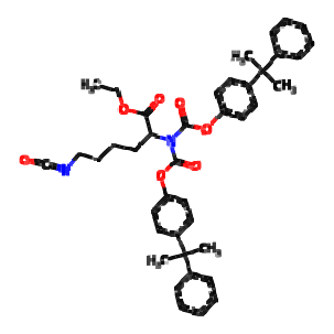 CCOC(=O)C(CCCCN=C=O)N(C(=O)Oc1ccc(C(C)(C)c2ccccc2)cc1)C(=O)Oc1ccc(C(C)(C)c2ccccc2)cc1